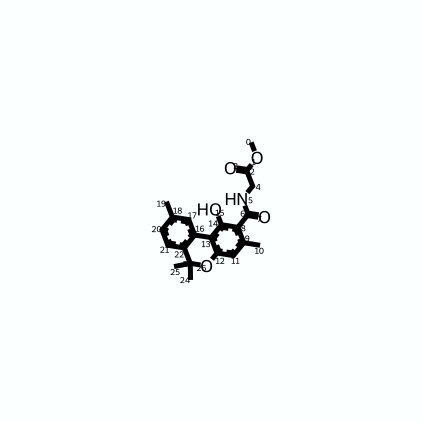 COC(=O)CNC(=O)c1c(C)cc2c(c1O)-c1cc(C)ccc1C(C)(C)O2